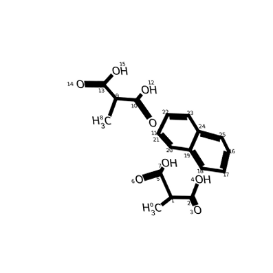 CC(C(=O)O)C(=O)O.CC(C(=O)O)C(=O)O.c1ccc2ccccc2c1